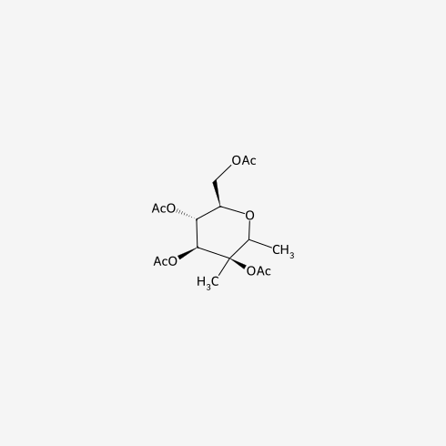 CC(=O)OC[C@H]1OC(C)[C@@](C)(OC(C)=O)[C@@H](OC(C)=O)[C@@H]1OC(C)=O